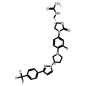 CC(=O)NC[C@H]1CN(c2ccc(N3CC[C@@H](n4ccc(-c5ccc(C(F)(F)F)cc5)n4)C3)c(F)c2)C(=O)O1